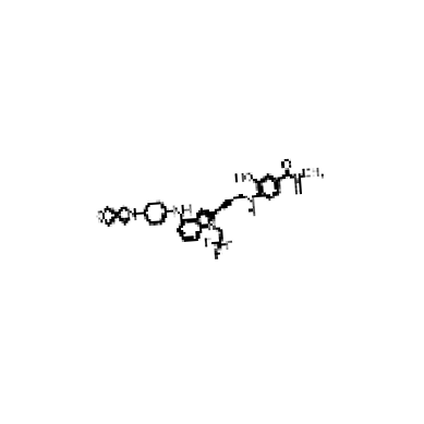 CNC(=O)c1ccc(NCC#Cc2cc3c(N[C@H]4CC[C@H](N5CC6(COC6)C5)CC4)cccc3n2CC(F)(F)F)c(O)c1